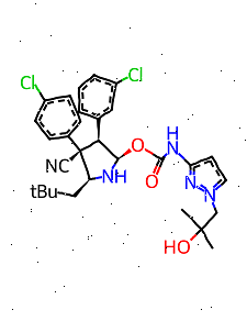 CC(C)(C)C[C@@H]1N[C@H](OC(=O)Nc2ccn(CC(C)(C)O)n2)[C@H](c2cccc(Cl)c2)[C@@]1(C#N)c1ccc(Cl)cc1